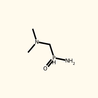 CN(C)C[PH](N)=O